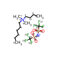 CCCCCC[N+](C)(C)CCCC.O=S(=O)([N-]S(=O)(=O)C(F)(F)F)C(F)(F)F